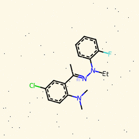 CCN(/N=C(\C)c1cc(Cl)ccc1N(C)C)c1ccccc1F